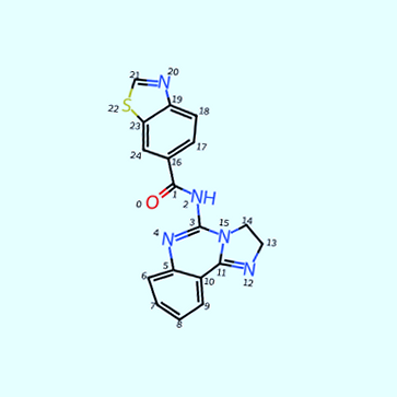 O=C(NC1=Nc2ccccc2C2=NCCN12)c1ccc2ncsc2c1